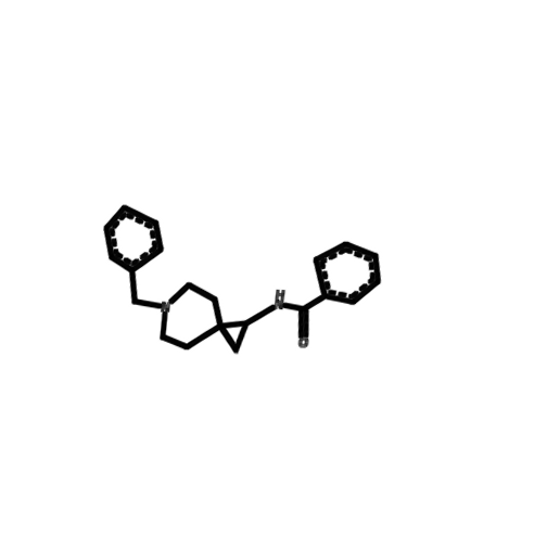 O=C(NC1CC12CCN(Cc1ccccc1)CC2)c1ccccc1